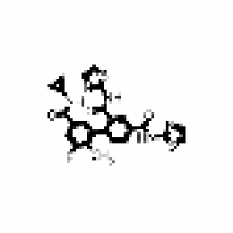 Cc1c(F)cc(C(=O)NC2CC2)cc1-c1ccc(C(=O)Nc2nccs2)cc1C(=O)Nc1nccs1